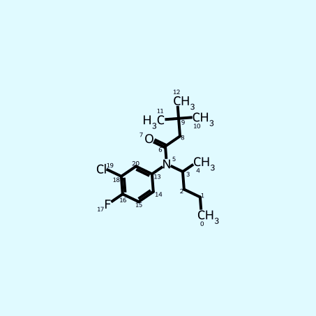 CCCC(C)N(C(=O)CC(C)(C)C)c1ccc(F)c(Cl)c1